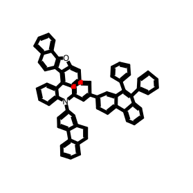 c1ccc(-c2c(-c3ccccc3)c3cc(-c4cccc(N(c5ccc6c(ccc7ccccc76)c5)c5ccccc5-c5cccc6oc7c8ccccc8ccc7c56)c4)ccc3c3ccccc23)cc1